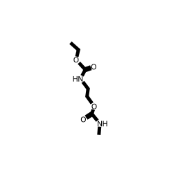 CCOC(=O)NCCOC(=O)NC